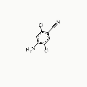 N#Cc1cc(Cl)c(N)cc1Cl